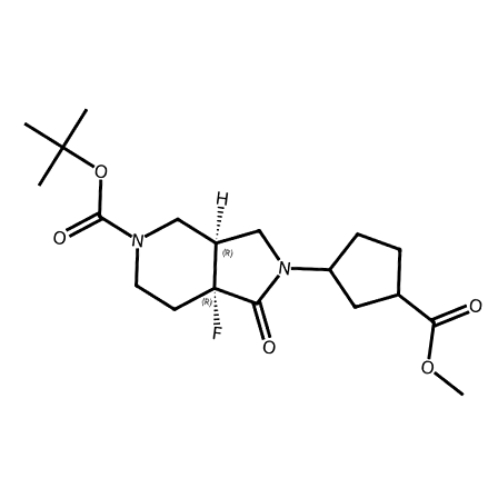 COC(=O)C1CCC(N2C[C@@H]3CN(C(=O)OC(C)(C)C)CC[C@]3(F)C2=O)C1